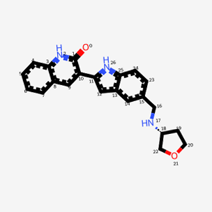 O=c1[nH]c2ccccc2cc1-c1cc2cc(CN[C@@H]3CCOC3)ccc2[nH]1